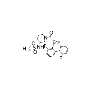 CS(=O)(=O)N[C@@H]1CCCN(C(=O)[C@@H]2C[C@H]2c2c(F)cccc2-c2c(F)cccc2F)C1